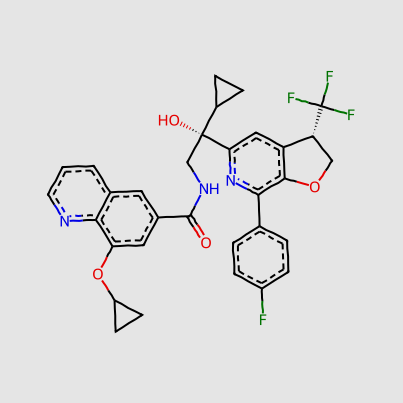 O=C(NC[C@](O)(c1cc2c(c(-c3ccc(F)cc3)n1)OC[C@H]2C(F)(F)F)C1CC1)c1cc(OC2CC2)c2ncccc2c1